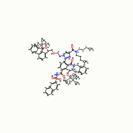 CCCCN(CCCC)C(=O)c1cn(CCOCCO[Si](c2ccccc2)(c2ccccc2)C(C)(C)C)c(-c2ccc(C(=O)NS(=O)(=O)c3ccc4ccccc4c3)cc2C(=O)N2Cc3ccccc3C[C@H]2CO[Si](C)(C)C(C)(C)C)n1